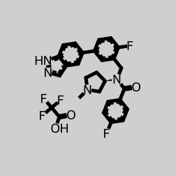 CN1CC[C@H](N(Cc2cc(-c3ccc4[nH]ncc4c3)ccc2F)C(=O)c2ccc(F)cc2)C1.O=C(O)C(F)(F)F